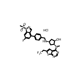 CN(c1ncnc2sc(CC(F)(F)F)cc12)[C@H]1C[C@@H](NCc2ccc(-c3cc(F)cc4c3cnn4S(C)(=O)=O)cc2)C[C@H]1O.Cl